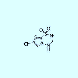 O=S1(=O)[N]CNc2cc(Cl)sc21